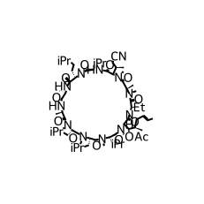 C/C=C/C[C@@H](C)[C@@H](OC(C)=O)[C@H]1C(=O)N[C@@H](CC)C(=O)N(C)[C@H](C)C(=O)N(C)[C@@H]([C@H](C)CC#N)C(=O)N[C@@H](C(C)C)C(=O)N(C)[C@@H](CCC(C)C)C(=O)N[C@@H](C)C(=O)N[C@H](C)C(=O)N(C)[C@@H](CC(C)C)C(=O)N(C)[C@@H](CC(C)C)C(=O)N(C)[C@@H](C(C)C)C(=O)N1C